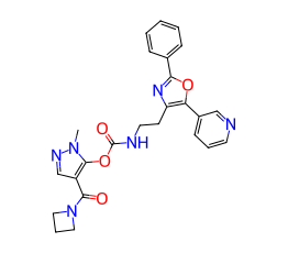 Cn1ncc(C(=O)N2CCC2)c1OC(=O)NCCc1nc(-c2ccccc2)oc1-c1cccnc1